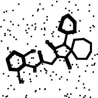 CC(C)c1cccc(C(C)C)c1NC(=O)CN1C(=O)N(c2ccccc2)C2(CCCCCC2)C1=O